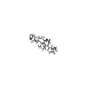 Nc1c(-c2ccc3scnc3c2)cnc2ccc(SC3CCOCC3)cc12